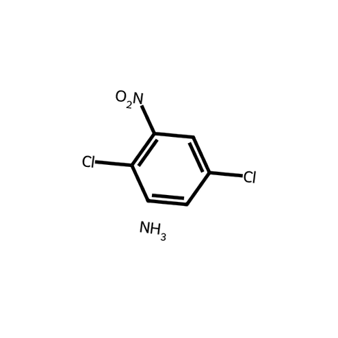 N.O=[N+]([O-])c1cc(Cl)ccc1Cl